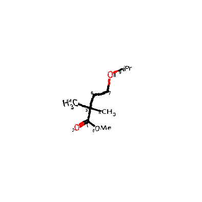 COC(=O)C(C)(C)CCOC(C)C